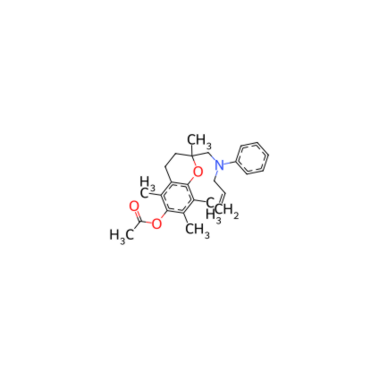 C=CCN(CC1(C)CCc2c(C)c(OC(C)=O)c(C)c(C)c2O1)c1ccccc1